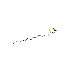 CCCCCCCCCCCCOc1cc(C)cs1